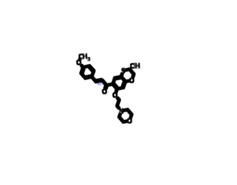 COc1ccc(/C=C/C(=O)c2cc3c(cc2OCCN2CCOCC2)OCCS3)cc1.Cl